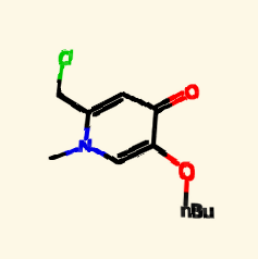 CCCCOc1cn(C)c(CCl)cc1=O